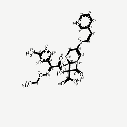 CCON=C(C(=O)NC1(C(=O)O)C(=O)N2C=C(S/C=C\c3cccnc3)CS[C@H]21)c1nsc(N)n1